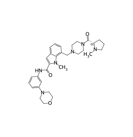 CN1CCC[C@H]1C(=O)N1CCN(Cc2cccc3cc(C(=O)Nc4cccc(N5CCOCC5)c4)n(C)c23)CC1